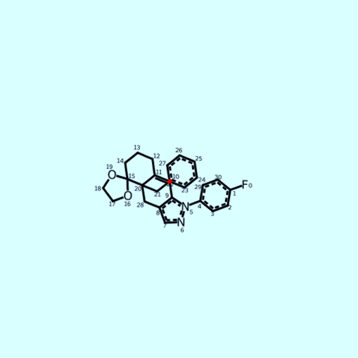 Fc1ccc(-n2ncc3c2C=C2CCCC4(OCCO4)C2(Cc2ccccc2)C3)cc1